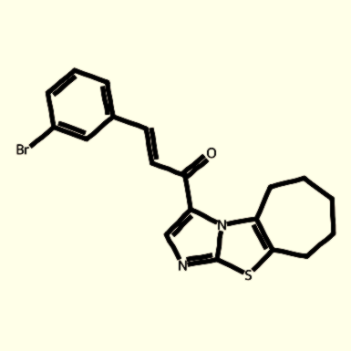 O=C(C=Cc1cccc(Br)c1)c1cnc2sc3c(n12)CCCCC3